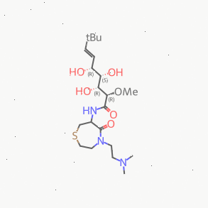 CO[C@@H](C(=O)NC1CSCCN(CCN(C)C)C1=O)[C@H](O)[C@@H](O)[C@H](O)C=CC(C)(C)C